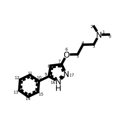 CN(C)CCCOc1cc(-c2ccccc2)[nH]n1